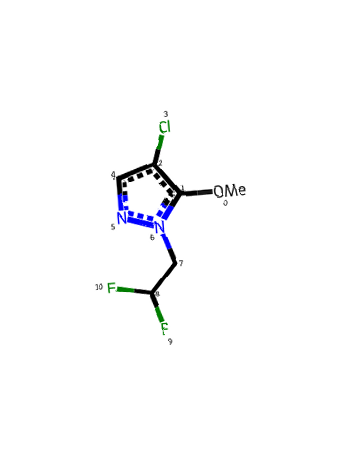 COc1c(Cl)[c]nn1CC(F)F